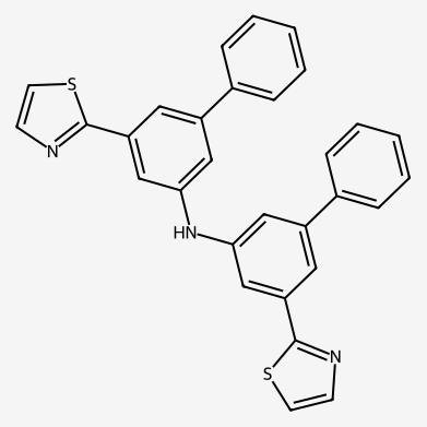 c1ccc(-c2cc(Nc3cc(-c4ccccc4)cc(-c4nccs4)c3)cc(-c3nccs3)c2)cc1